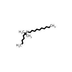 CCCCCCCCCC[N]C(C)(C)CCCCC